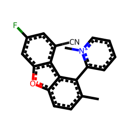 Cc1ccc2oc3cc(F)cc(C#N)c3c2c1-c1cccc[n+]1C